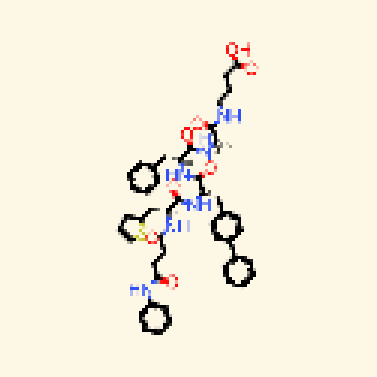 C[C@H](NC(=O)[C@@H](Cc1ccccc1)NC(=O)[C@H](Cc1ccc(-c2ccccc2)cc1)NC(=O)[C@@H](CC1CC=CS1)NC(=O)CCC(=O)Nc1ccccc1)C(=O)NCCCC(=O)O